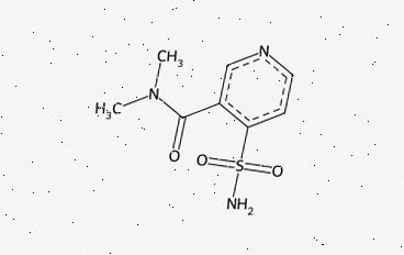 CN(C)C(=O)c1cnccc1S(N)(=O)=O